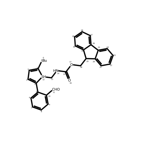 CC(C)(C)C1=CC=C(c2ccccc2C=O)[SH]1CNC(=O)OCC1c2ccccc2-c2ccccc21